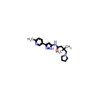 Cc1ccc(-c2cc(NC(=O)CC(C)(C)CN3CCCC3)[nH]n2)cn1